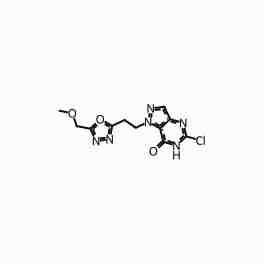 COCc1nnc(CCn2ncc3nc(Cl)[nH]c(=O)c32)o1